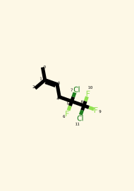 CC(C)=CCC(F)(Cl)C(F)(F)Cl